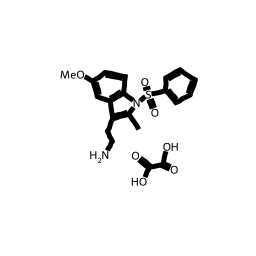 COc1ccc2c(c1)c(CCN)c(C)n2S(=O)(=O)c1ccccc1.O=C(O)C(=O)O